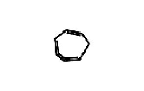 C1=C=CCC=CC=1